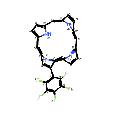 Fc1c(F)c(F)c(-c2cc3cc4ccc(cc5ccc(cc6nc(c2[nH]3)C=C6)[nH]5)[nH]4)c(F)c1F